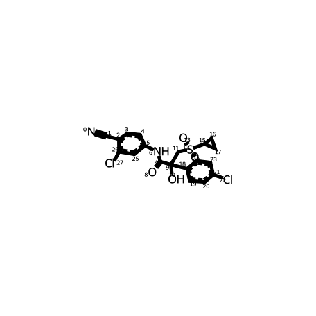 N#Cc1ccc(NC(=O)C(O)(CS(=O)(=O)C2CC2)c2ccc(Cl)cc2)cc1Cl